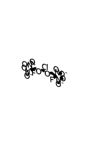 O=[N+]([O-])C(F)(COC(Cl)OCC(F)([N+](=O)[O-])[N+](=O)[O-])[N+](=O)[O-]